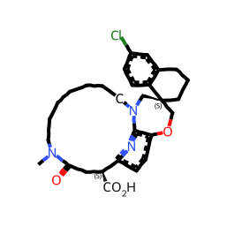 CN1CCCCCCCN2C[C@@]3(CCCc4cc(Cl)ccc43)COc3ccc(nc32)[C@@H](C(=O)O)CC1=O